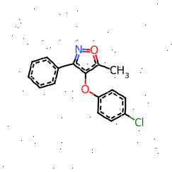 Cc1onc(-c2ccccc2)c1Oc1ccc(Cl)cc1